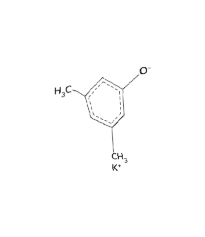 Cc1cc(C)cc([O-])c1.[K+]